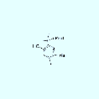 CCCCCC(C)(C)c1cc(C(C)(C)C)c(C)cc1O